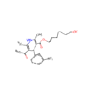 CC1=C(C(=O)OCCCCCCO)C(c2cccc([N+](=O)[O-])c2)C(C(=O)OCC(C)C)=C(C)N1